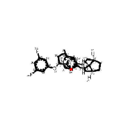 Cc1cc(N2C[C@H]3CC[C@@H](C2)[C@@H]3Nc2nc3n(n2)CC[C@@H]3Oc2cc(F)cc(F)c2)ncn1